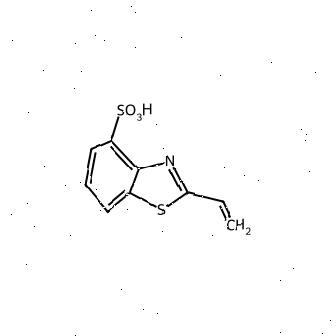 C=Cc1nc2c(S(=O)(=O)O)cccc2s1